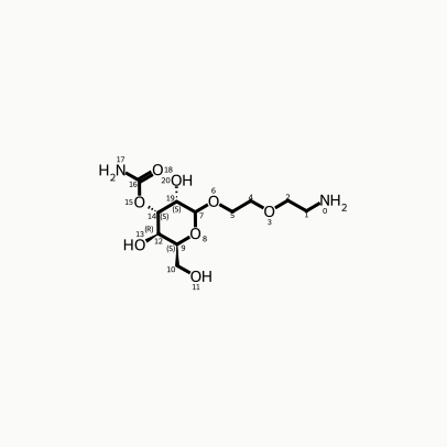 NCCOCCOC1O[C@@H](CO)[C@@H](O)[C@H](OC(N)=O)[C@@H]1O